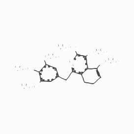 COC1=CCCc2c(Cc3cc(OC)c(OC)c(OC)c3)nc(OC)c(OC)c21